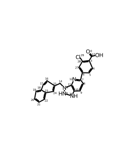 O=C(O)c1ccc(-c2ccc3c(n2)N(Cc2ccc4ccccc4c2)NN3)cc1Cl